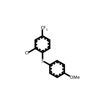 COc1ccc(Sc2ccc(C(F)(F)F)cc2Cl)cc1